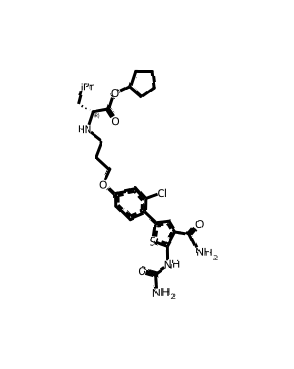 CC(C)C[C@@H](NCCCOc1ccc(-c2cc(C(N)=O)c(NC(N)=O)s2)c(Cl)c1)C(=O)OC1CCCC1